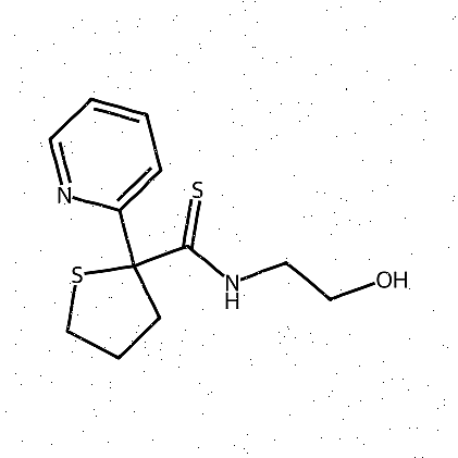 OCCNC(=S)C1(c2ccccn2)CCCS1